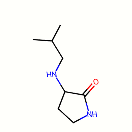 CC(C)CNC1CCNC1=O